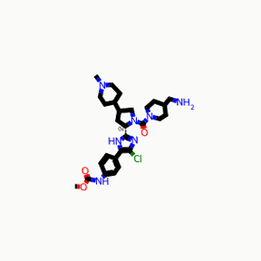 COC(=O)Nc1ccc(-c2[nH]c([C@@H]3CC(C4CCN(C)CC4)CN3C(=O)N3CCC(CN)CC3)nc2Cl)cc1